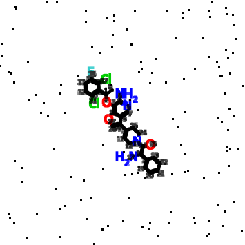 C[C@@H](Oc1c(N)ncc2c(C3=CCN(C(=O)[C@H](N)c4ccccc4)CC3)coc12)c1c(Cl)ccc(F)c1Cl